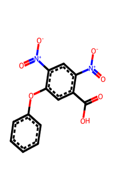 O=C(O)c1cc(Oc2ccccc2)c([N+](=O)[O-])cc1[N+](=O)[O-]